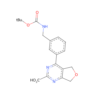 CC(C)(C)OC(=O)NCc1cccc(-c2nc(C(=O)O)nc3c2COC3)c1